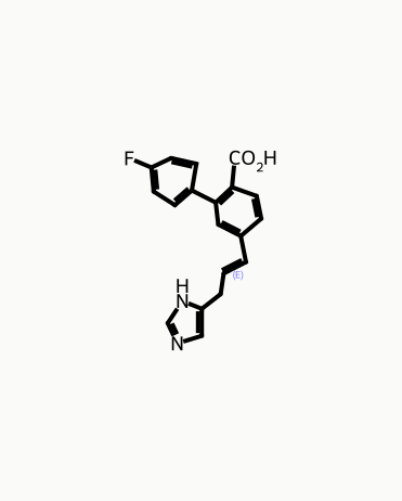 O=C(O)c1ccc(/C=C/Cc2cnc[nH]2)cc1-c1ccc(F)cc1